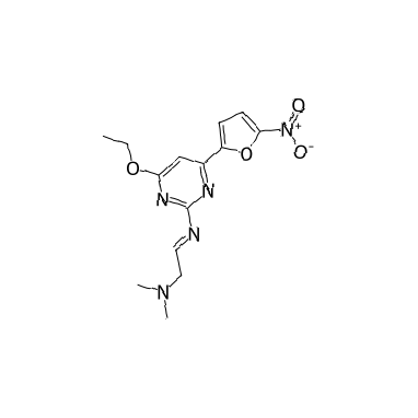 CCOc1cc(-c2ccc([N+](=O)[O-])o2)nc(N=CCN(C)C)n1